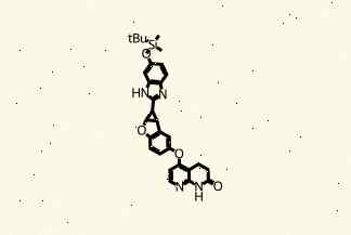 CC(C)(C)[Si](C)(C)Oc1ccc2nc(C3C4Oc5ccc(Oc6ccnc7c6CCC(=O)N7)cc5C43)[nH]c2c1